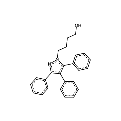 OCCCCn1nc(-c2ccccc2)c(-c2ccccc2)c1-c1ccccc1